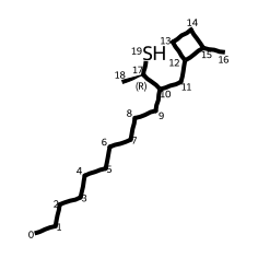 CCCCCCCCCCC(CC1CCC1C)[C@@H](C)S